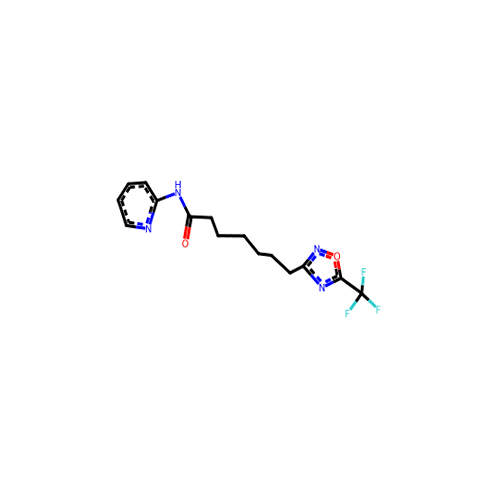 O=C(CCCCCCc1noc(C(F)(F)F)n1)Nc1ccccn1